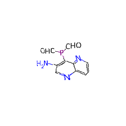 Nc1cnc2cccnc2c1P(C=O)C=O